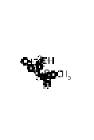 Cc1ccc(S(=O)(=O)N(CC(=O)N(Cc2ccc(C3CCCCC3)cc2)c2ccc(C(=O)O)c(O)c2)Cc2cccnc2)cc1